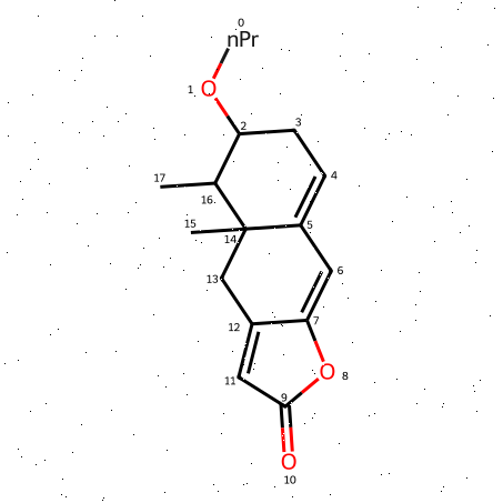 CCCOC1CC=C2C=C3OC(=O)C=C3CC2(C)C1C